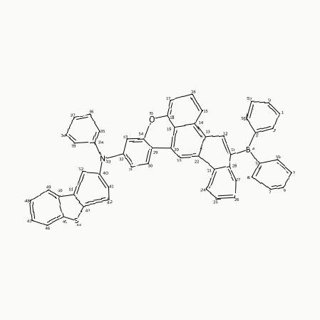 c1ccc(B(c2ccccc2)c2cc3c4cccc5c4c(cc3c3ccccc23)-c2ccc(N(c3ccccc3)c3ccc4sc6ccccc6c4c3)cc2O5)cc1